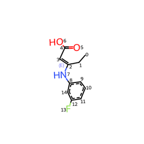 CC/C(=C\C(=O)O)Nc1cccc(F)c1